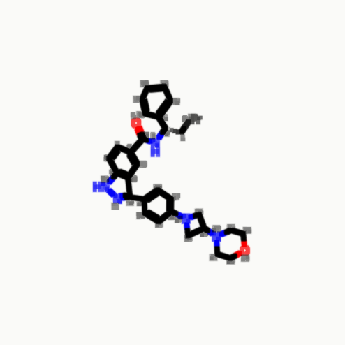 CC(C)C[C@H](NC(=O)c1ccc2[nH]nc(-c3ccc(N4CC(N5CCOCC5)C4)cc3)c2c1)c1ccccc1